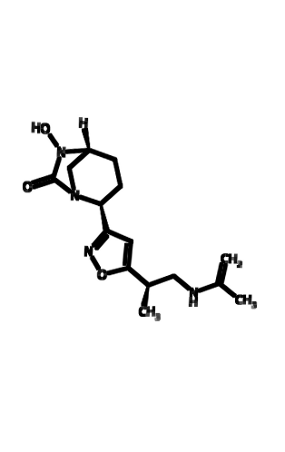 C=C(C)NC[C@@H](C)c1cc([C@@H]2CC[C@@H]3CN2C(=O)N3O)no1